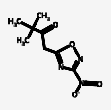 CC(C)(C)C(=O)Cc1nc([N+](=O)[O-])no1